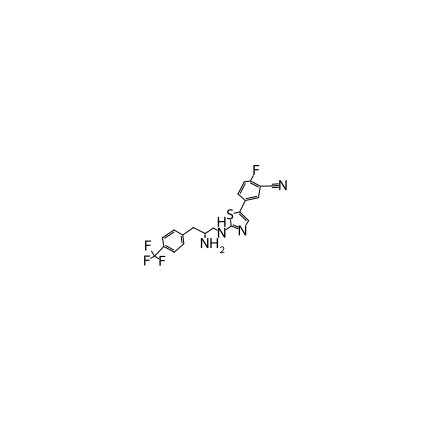 N#Cc1cc(-c2cnc(NC[C@@H](N)Cc3ccc(C(F)(F)F)cc3)s2)ccc1F